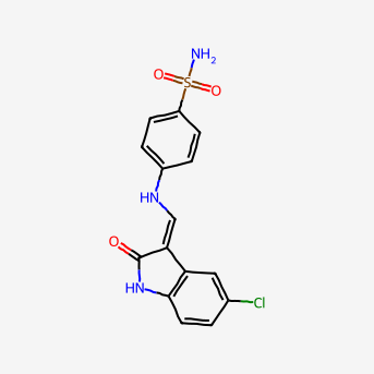 NS(=O)(=O)c1ccc(NC=C2C(=O)Nc3ccc(Cl)cc32)cc1